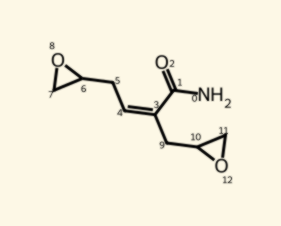 NC(=O)C(=CCC1CO1)CC1CO1